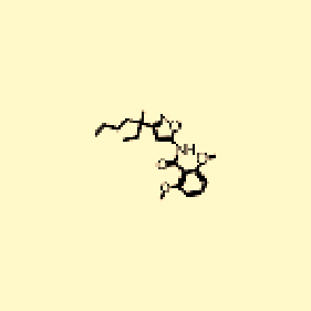 CCCCC(C)(CC)c1cc(NC(=O)c2c(OC)cccc2OC)on1